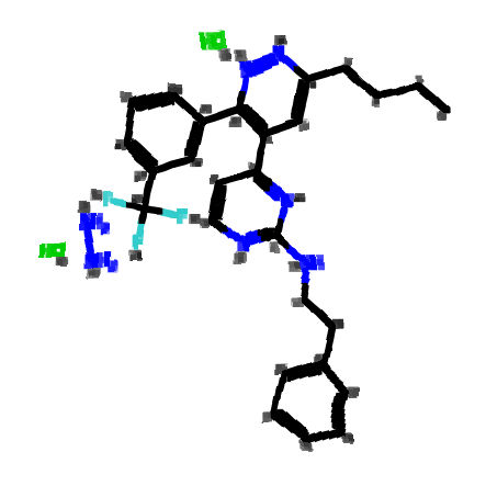 CCCCc1cc(-c2ccnc(NCCc3ccccc3)n2)c(-c2cccc(C(F)(F)F)c2)nn1.Cl.Cl.NN